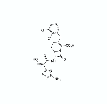 Nc1nc(/C(=N/O)C(=O)NC2C(=O)N3C(C(=O)O)=C(Sc4cncc(Cl)c4Cl)CCC23)ns1